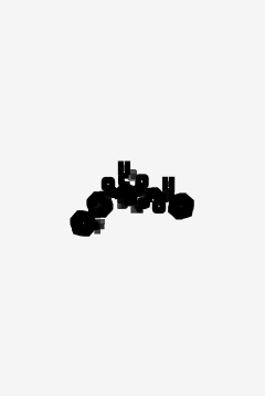 Cc1c(C(=O)N2CCN(c3ccccc3F)CC2)sc2ncn(CC(=O)Nc3ccccc3)c(=O)c12